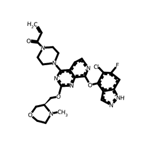 C=CC(=O)N1CCN(c2nc(OC[C@@H]3COCCN3C)nc3c(Oc4c(Cl)c(F)cc5[nH]ncc45)nccc23)CC1